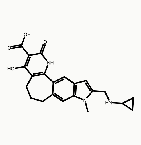 Cn1c(CNC2CC2)cc2cc3c(cc21)CCCc1c-3[nH]c(=O)c(C(=O)O)c1O